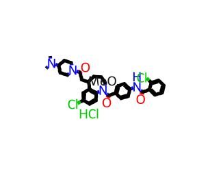 COc1cc(NC(=O)c2ccccc2Cl)ccc1C(=O)N1CCCC(CC(=O)N2CCC(N(C)C)CC2)c2cc(Cl)ccc21.Cl